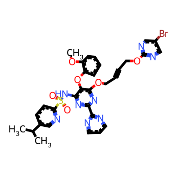 COc1ccccc1Oc1c(NS(=O)(=O)c2ccc(C(C)C)cn2)nc(-c2ncccn2)nc1OCC#CCOc1ncc(Br)cn1